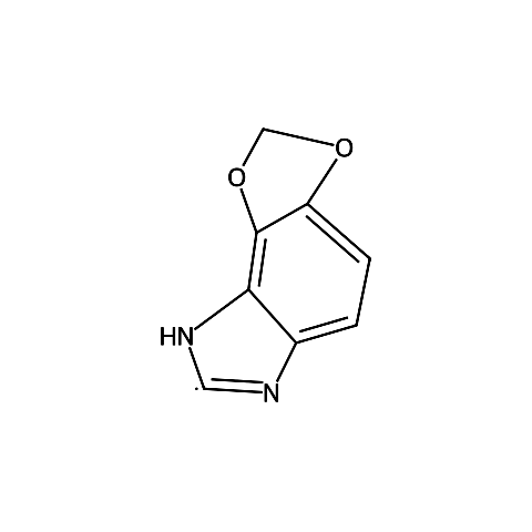 [c]1nc2ccc3c(c2[nH]1)OCO3